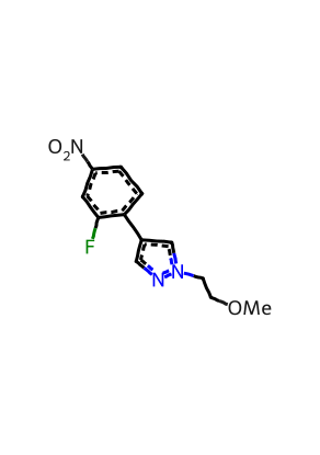 COCCn1cc(-c2ccc([N+](=O)[O-])cc2F)cn1